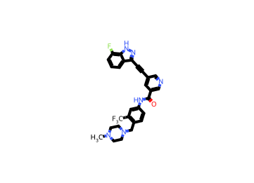 CN1CCN(Cc2ccc(NC(=O)c3cncc(C#Cc4n[nH]c5c(F)cccc45)c3)cc2C(F)(F)F)CC1